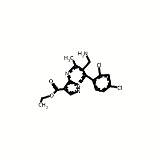 CCOC(=O)c1cnn2c(-c3ccc(Cl)cc3Cl)c(CN)c(C)nc12